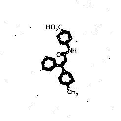 Cc1ccc(C(=CC(=O)Nc2ccc(C(=O)O)cc2)c2ccccc2)cc1